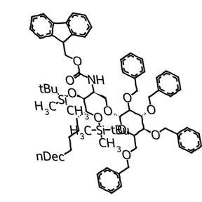 CCCCCCCCCCCCCC[C@@H](O[Si](C)(C)C(C)(C)C)[C@@H](O[Si](C)(C)C(C)(C)C)[C@H](CO[C@H]1OC(COCc2ccccc2)[C@H](OCc2ccccc2)[C@@H](OCc2ccccc2)C1OCc1ccccc1)NC(=O)OCC1c2ccccc2-c2ccccc21